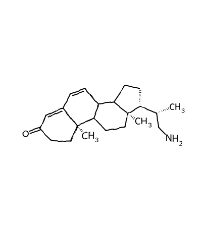 C[C@H](CN)[C@H]1CCC2C3C=CC4=CC(=O)CC[C@]4(C)C3CC[C@@]21C